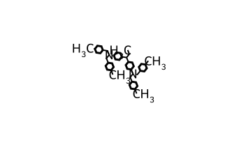 CCC(c1ccc(N(Cc2ccc(C)cc2)Cc2ccc(C)cc2)cc1)c1ccc(N(Cc2ccc(C)cc2)Cc2ccc(C)cc2)cc1